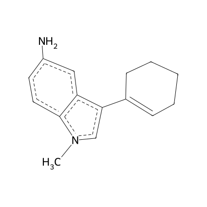 Cn1cc(C2=CCCCC2)c2cc(N)ccc21